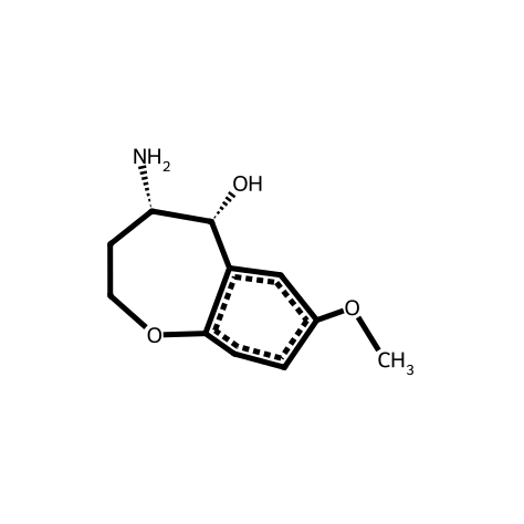 COc1ccc2c(c1)[C@@H](O)[C@@H](N)CCO2